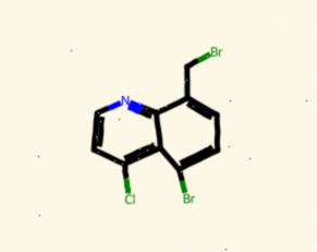 Clc1ccnc2c(CBr)ccc(Br)c12